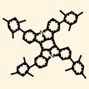 Cc1cc(C)c(-c2ccc3c(c2)c2c4c5ccc(-c6c(C)cc(C)cc6C)cc5n5c6ccc(-c7c(C)cc(C)cc7C)cc6c(c6c7ccc(-c8c(C)cc(C)cc8C)cc7n3c26)c45)c(C)c1